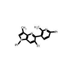 CCc1cc2c(nc1-c1ccc(C(C)C)nc1C)c(C)cn2C(C)C